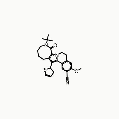 COc1cc2c(cc1C#N)-c1c(C3CC=CS3)c3c(n1CC2)C(=O)N(C(C)(C)C)CCCC3